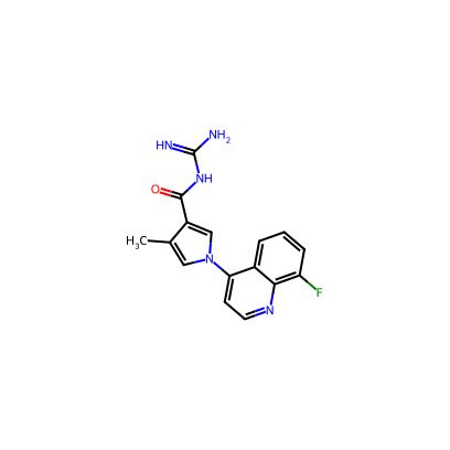 Cc1cn(-c2ccnc3c(F)cccc23)cc1C(=O)NC(=N)N